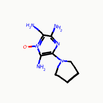 Nc1nc(N2CCCC2)c(N)[n+]([O-])c1N